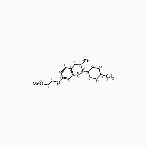 CCN(Cc1ccc(OCCOC)cc1)C(=O)C1CCC(C)CC1